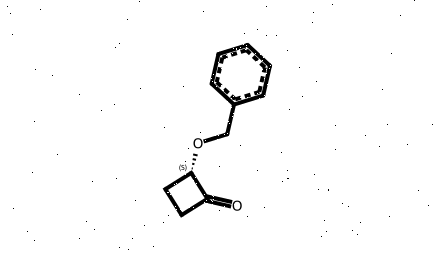 O=C1CC[C@@H]1OCc1ccccc1